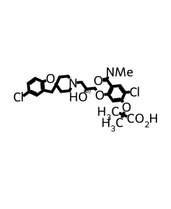 CNC(=O)c1cc(Cl)c(OC(C)(C)C(=O)O)cc1OC[C@@H](O)CN1CCC2(CC1)Cc1cc(Cl)ccc1O2